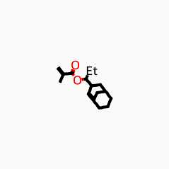 C=C(C)C(=O)OC(CC)C1C=C2CCCC(C2)C1